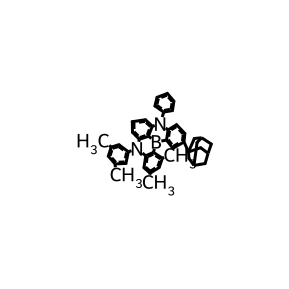 Cc1cc(C)cc(N2c3cc(C)cc(C)c3B3c4cc(C56CC7CC(CC(C7)C5)C6)ccc4N(c4ccccc4)c4cccc2c43)c1